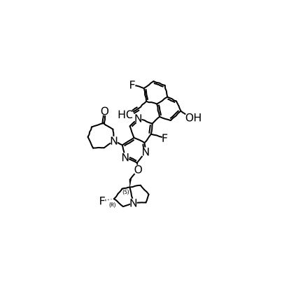 C#Cc1c(F)ccc2cc(O)cc(-c3ncc4c(N5CCCCC(=O)C5)nc(OC[C@@]56CCCN5C[C@H](F)C6)nc4c3F)c12